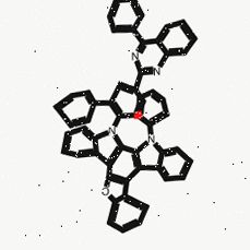 c1ccc(-c2cc(-c3nc(-c4ccccc4)c4ccccc4n3)ccc2-n2c3ccccc3c3c4oc5ccccc5c4c4c5ccccc5n(-c5ccccc5)c4c32)cc1